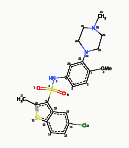 COc1ccc(NS(=O)(=O)c2c(C)sc3ccc(Cl)cc23)cc1N1CCN(C)CC1